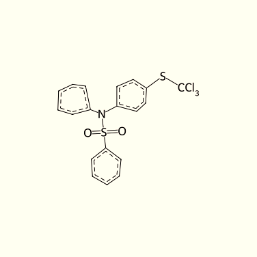 O=S(=O)(c1ccccc1)N(c1ccccc1)c1ccc(SC(Cl)(Cl)Cl)cc1